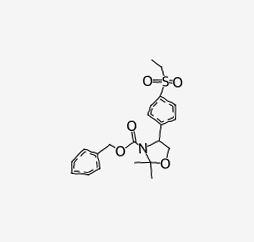 CCS(=O)(=O)c1ccc(C2COC(C)(C)N2C(=O)OCc2ccccc2)cc1